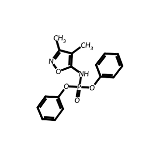 Cc1noc(NP(=O)(Oc2ccccc2)Oc2ccccc2)c1C